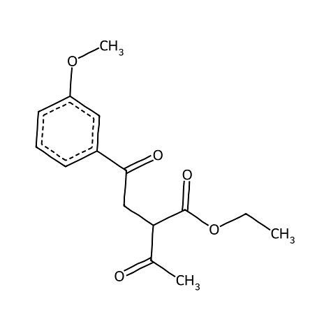 CCOC(=O)C(CC(=O)c1cccc(OC)c1)C(C)=O